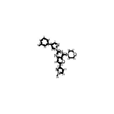 Cc1cccc(-c2cnn(-c3nc(N4CCOCC4)c4oc(-c5ccn(C)n5)cc4n3)c2)c1